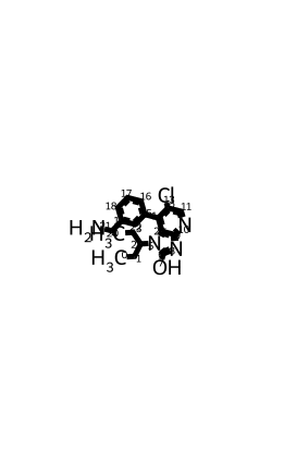 CCC(CC)n1c(O)nc2ncc(Cl)c(-c3cccc(CN)c3)c21